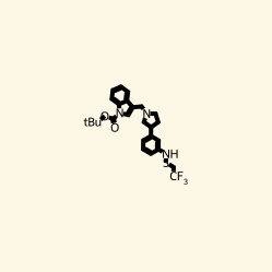 CC(C)(C)OC(=O)n1cc(CN2CCC(c3cccc(NSCC(F)(F)F)c3)C2)c2ccccc21